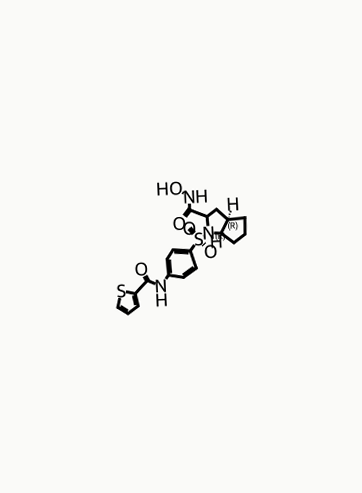 O=C(Nc1ccc(S(=O)(=O)N2C(C(=O)NO)C[C@H]3CCC[C@H]32)cc1)c1cccs1